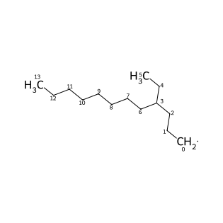 [CH2]CCC(CC)CCCCCCCC